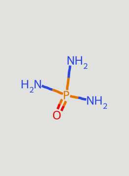 NP(N)(N)=O